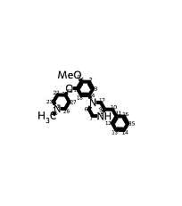 COc1ccc(N2CCNC(Cc3ccccc3)C2)cc1OC1CCN(C)CC1